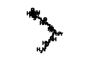 CCCN(CCCNCCNCCCN)Cc1cn(CCCNC(=O)CCCC[C@@H]2SC[C@@H]3NC(=O)N[C@@H]32)nn1